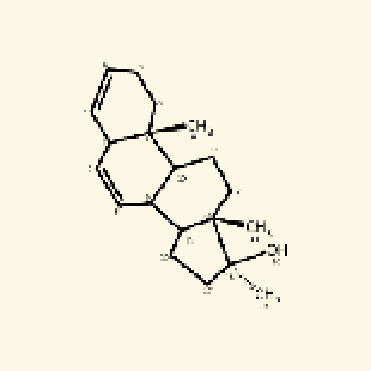 C[C@]12CCC=CC1C=CC1C2CC[C@@]2(C)C1CC[C@]2(C)O